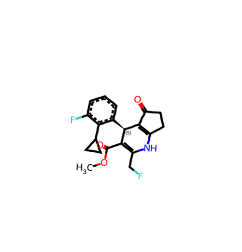 COC(=O)C1=C(CF)NC2=C(C(=O)CC2)[C@@H]1c1cccc(F)c1C1CC1